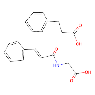 O=C(O)CCc1ccccc1.O=C(O)CNC(=O)C=Cc1ccccc1